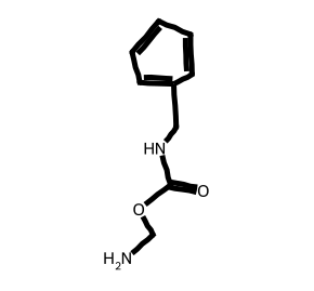 NCOC(=O)NCc1ccccc1